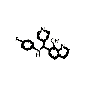 Oc1c(C(Nc2ccc(F)cc2)c2ccncc2)ccc2cccnc12